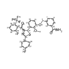 COc1c(OCc2cccc(C(N)=O)c2)cccc1C1SC(c2ccc(F)cc2)=NN1C(=O)c1c(F)cccc1C(F)(F)F